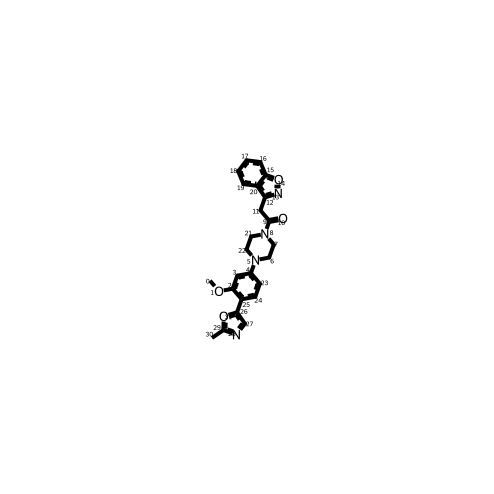 COc1cc(N2CCN(C(=O)Cc3noc4ccccc34)CC2)ccc1-c1cnc(C)o1